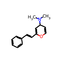 CN(C)C1C=COC(C=Cc2ccccc2)=C1